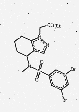 CCOC(=O)Cn1ncc2c1CCCC2N(C)S(=O)(=O)c1cc(Br)cc(Br)c1